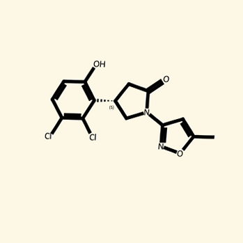 Cc1cc(N2C[C@H](c3c(O)ccc(Cl)c3Cl)CC2=O)no1